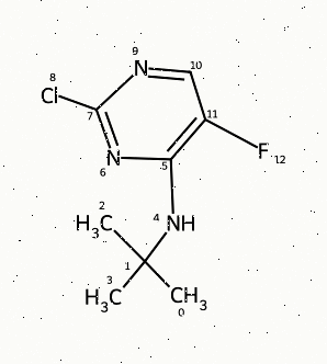 CC(C)(C)Nc1nc(Cl)ncc1F